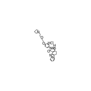 Cl.O=C(Nc1ccc(OCCOCCN2CCCC2)cc1)C1=C(O)CCc2c1nc1ccccn21